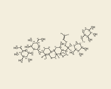 CC(C)=CCCC(C)(O[C@@H]1O[C@H](CO[C@H]2OC[C@@H](O)[C@H](O)[C@H]2O)[C@@H](O)[C@H](O)[C@H]1O)C1CCC2(C)C1C(O)CC1C3CCC(O[C@@H]4O[C@H](CO)[C@@H](O)[C@H](O)[C@H]4O[C@@H]4O[C@H](CO)[C@@H](O)[C@H](O)[C@H]4O)C(C)(C)C3CCC12C